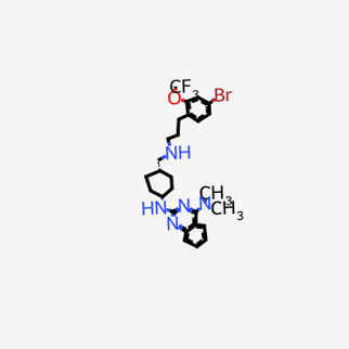 CN(C)c1nc(N[C@H]2CC[C@@H](CNCCCc3ccc(Br)cc3OC(F)(F)F)CC2)nc2ccccc12